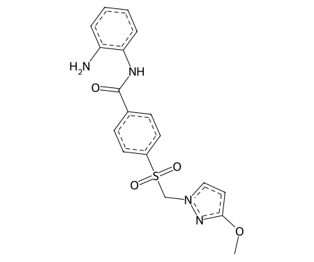 COc1ccn(CS(=O)(=O)c2ccc(C(=O)Nc3ccccc3N)cc2)n1